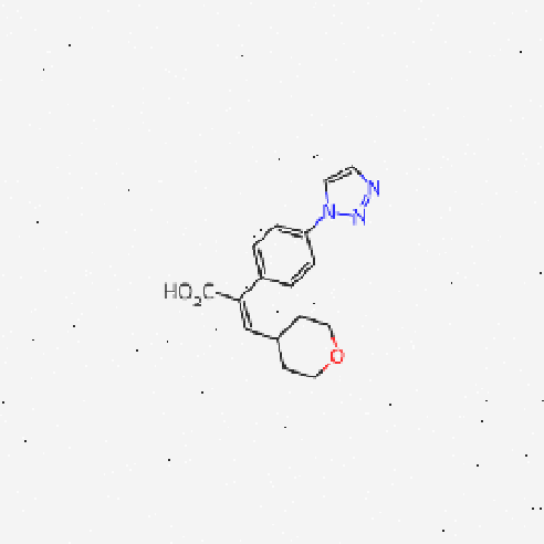 O=C(O)C(=CC1CCOCC1)c1ccc(-n2ccnn2)cc1